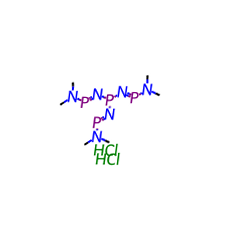 CN(C)/P=N/P(/N=P/N(C)C)/N=P/N(C)C.Cl.Cl